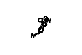 CN(C)CCCC1CCN(c2ccc(C(=O)N(C)C)c(Cl)c2)CC1